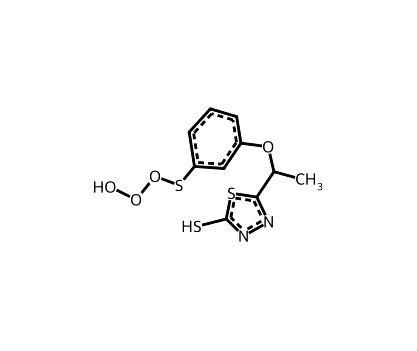 CC(Oc1cccc(SOOO)c1)c1nnc(S)s1